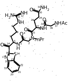 CCCN(CC(=O)NC(CCCNC(=N)N)C(=O)c1nc2ccccc2s1)C(=O)C(CCC(N)=O)NC(=O)CNC(C)=O